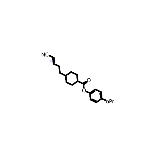 CCCc1ccc(OC(=O)C2CCC(CC/C=C/C#N)CC2)cc1